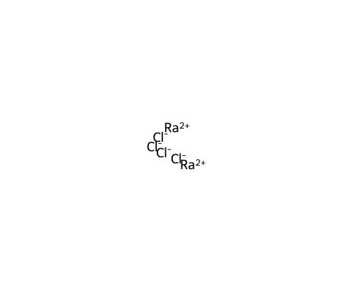 [Cl-].[Cl-].[Cl-].[Cl-].[Ra+2].[Ra+2]